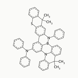 CC1(C)c2ccccc2Sc2cc3c(cc21)N(c1ccccc1)B1c2cccc4c2N(c2ccccc2C4(C)C)c2cc(N(c4ccccc4)c4ccccc4)cc-3c21